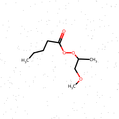 CCCCC(=O)OOC(C)COC